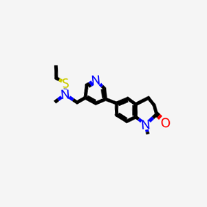 CCSN(C)Cc1cncc(-c2ccc3c(c2)CCC(=O)N3C)c1